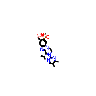 Cc1cnc(N2CCn3c(nc4cc(CO)c(S(C)(=O)=O)cc43)[C@H]2C(C)C)nc1C